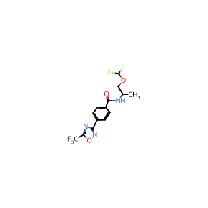 CC(COC(F)F)NC(=O)c1ccc(-c2noc(C(F)(F)F)n2)cc1